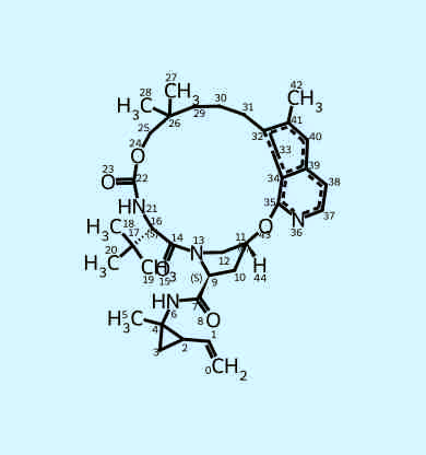 C=CC1CC1(C)NC(=O)[C@@H]1C[C@@H]2CN1C(=O)[C@H](C(C)(C)C)NC(=O)OCC(C)(C)CCCc1cc3c(nccc3cc1C)O2